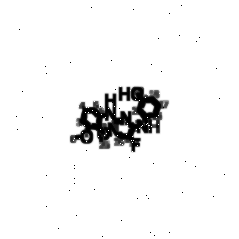 COc1cccc(Nc2ncc(F)c(Nc3cccc(O)c3)n2)c1OC